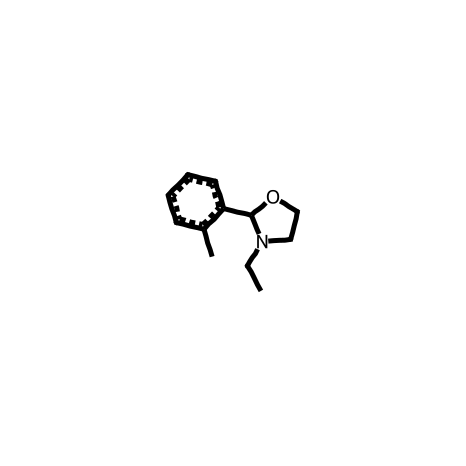 CCN1CCOC1c1ccccc1C